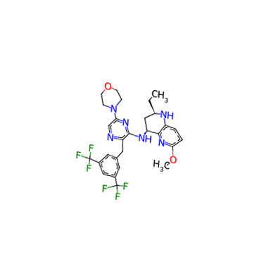 CC[C@@H]1C[C@H](Nc2nc(N3CCOCC3)cnc2Cc2cc(C(F)(F)F)cc(C(F)(F)F)c2)c2nc(OC)ccc2N1